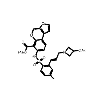 COC(=O)c1c(NS(=O)(=O)c2ccc(F)cc2C=CCN2CC(OC(C)=O)C2)ccc2c1OCc1occc1-2